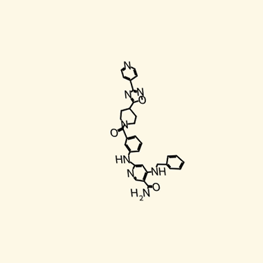 NC(=O)c1cnc(Nc2cccc(C(=O)N3CCC(c4nc(-c5ccncc5)no4)CC3)c2)cc1NCc1ccccc1